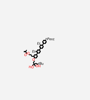 C=C(C)C(=O)OCCCc1cc(-c2ccc(-c3ccc(-c4ccc(CCCCC)cc4)c(CC)c3)cc2CC)ccc1OCCC(CO)(CO)CCC(C)(C)C